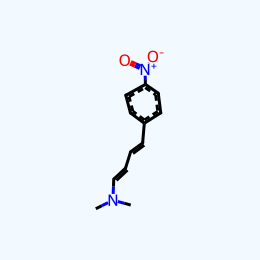 CN(C)C=CC=Cc1ccc([N+](=O)[O-])cc1